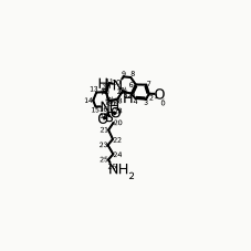 COc1ccc2c(c1)CCN1C[C@@H]3CCCN(S(=O)(=O)CCCCCCN)[C@@H]3C[C@@H]21